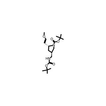 CO/C=C/[C@H]1C[C@H](CNC(=O)OC(C)(C)C)CN1C(=O)OC(C)(C)C